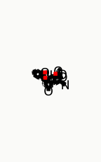 COC(=O)[C@]1(CC[C@]2(C)CC(=O)C=C3[C@@]4(C)C=C(C#N)C(=O)[C@](C)(C(=O)OC)[C@@H]4CC[C@]32C)CCC(C)(C)CC1C